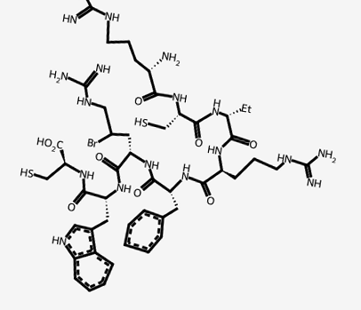 CC[C@@H](NC(=O)[C@H](CS)NC(=O)[C@@H](N)CCCNC(=N)N)C(=O)N[C@@H](CCCNC(=N)N)C(=O)N[C@H](Cc1ccccc1)C(=O)N[C@@H](CC(Br)CNC(=N)N)C(=O)N[C@H](Cc1c[nH]c2ccccc12)C(=O)N[C@@H](CS)C(=O)O